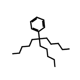 CCCCCC(CCCCC)(CCCCC)c1ccccc1